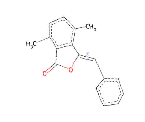 Cc1ccc(C)c2c1C(=O)O/C2=C\c1ccccc1